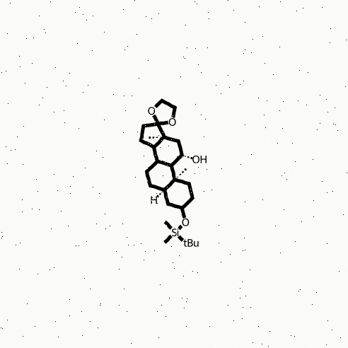 CC(C)(C)[Si](C)(C)OC1CC[C@]2(C)C3C(CC[C@@H]2C1)C1CCC2(OCCO2)[C@@]1(C)C[C@@H]3O